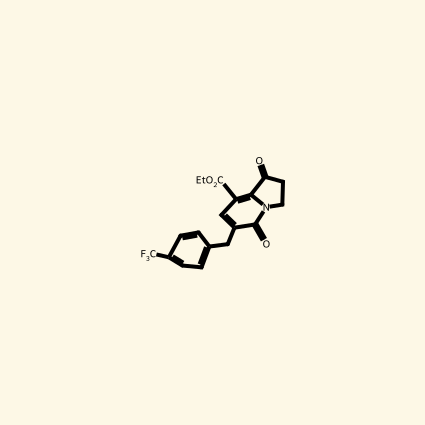 CCOC(=O)c1cc(Cc2ccc(C(F)(F)F)cc2)c(=O)n2c1C(=O)CC2